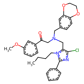 CCCCn1c(-c2ccccc2)nc(Cl)c1CN(CC(=O)c1cccc(OC)c1)Cc1ccc2c(c1)OCCO2